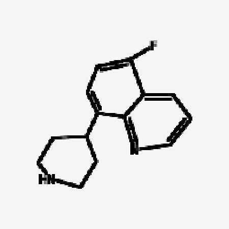 Fc1ccc(C2CCNCC2)c2ncccc12